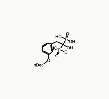 CCCCCCCCCCOc1cccc(CC(O)(P(=O)(O)O)P(=O)(O)O)c1